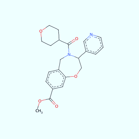 COC(=O)c1ccc2c(c1)OCC(c1cccnc1)N(C(=O)C1CCOCC1)C2